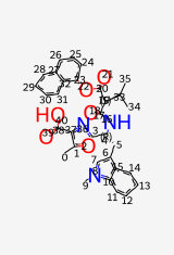 Cc1oc([C@@H](Cc2cn(C)c3ccccc23)NC(=O)[C@@H](C(=O)Oc2cccc3ccccc23)C(C)C)nc1C(=O)O